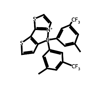 Cc1cc([B-]2(c3cc(C)cc(C(F)(F)F)c3)c3ccsc3-c3scc[n+]32)cc(C(F)(F)F)c1